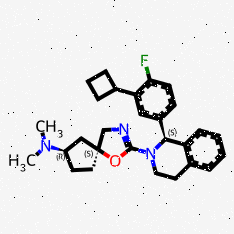 CN(C)[C@@H]1CC[C@@]2(CN=C(N3CCc4ccccc4[C@@H]3c3ccc(F)c(C4CCC4)c3)O2)C1